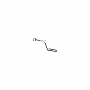 C=C[13CH2]Cl